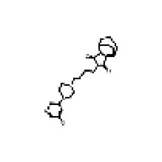 O=C1C2=C3CCCCC(CC3)C2C(=O)N1CCCCN1CCN(c2cncc(Cl)n2)CC1